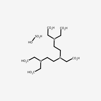 O=C(O)CN(CCN(CC(=O)O)CC(=O)O)CCN(CC(=O)O)CC(=O)O.O=S(=O)(O)O